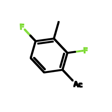 CC(=O)c1ccc(F)c(C)c1F